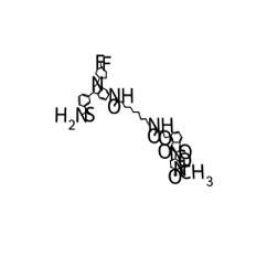 CN1C(=O)CCC(N2C(=O)c3cccc(OCC(=O)NCCCCCCCCC(=O)Nc4ccc5c(-c6cccc(C(N)=S)c6)cn(C6CCC(F)(F)CC6)c5c4)c3C2=O)C1=O